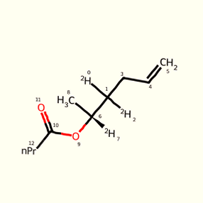 [2H]C([2H])(CC=C)[C@@]([2H])(C)OC(=O)CCC